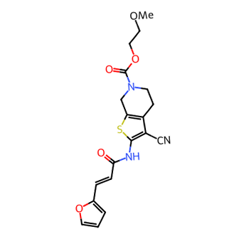 COCCOC(=O)N1CCc2c(sc(NC(=O)/C=C/c3ccco3)c2C#N)C1